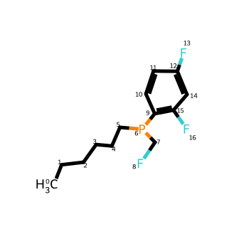 CCCCCCP(CF)c1ccc(F)cc1F